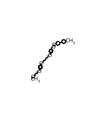 CO/C=C/C=C/Oc1ccc(OCCCCCCOc2ccc(COOC3CCC(C4CCC(C)CC4)CC3)cc2)cc1